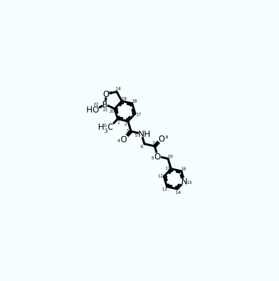 Cc1c(C(=O)NCC(=O)OCc2cccnc2)ccc2c1B(O)OC2